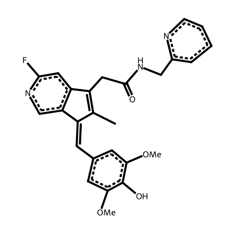 COc1cc(C=C2C(C)=C(CC(=O)NCc3ccccn3)c3cc(F)ncc32)cc(OC)c1O